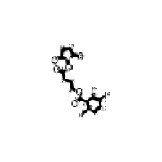 O=C(CCCOC(=O)c1c(I)ccc(I)c1I)ON1C(=O)CCC1=O